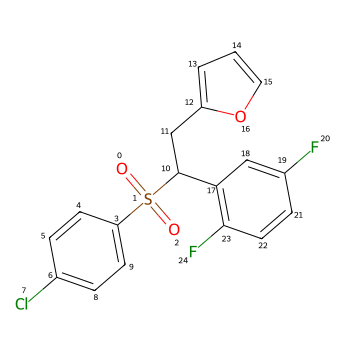 O=S(=O)(c1ccc(Cl)cc1)C(Cc1ccco1)c1cc(F)ccc1F